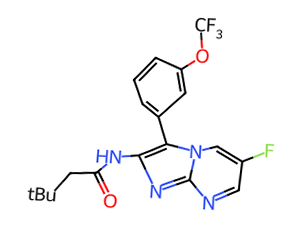 CC(C)(C)CC(=O)Nc1nc2ncc(F)cn2c1-c1cccc(OC(F)(F)F)c1